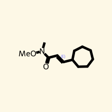 CON(C)C(=O)/C=C/C1CCCCCC1